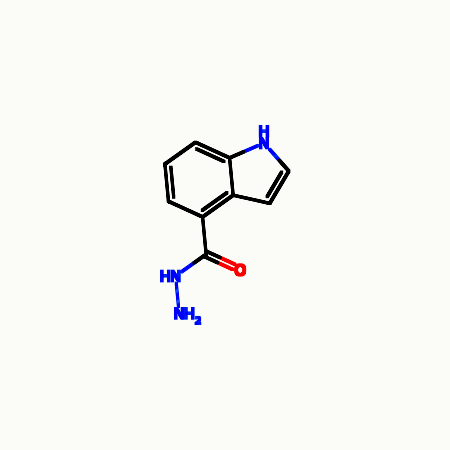 NNC(=O)c1cccc2[nH]ccc12